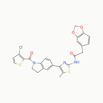 Cc1sc(NC(=O)Cc2ccc3c(c2)OCO3)nc1-c1ccc2c(c1)CCN2C(=O)c1sccc1Cl